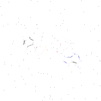 CC(C)(C)[Si](C)(C)O[C@@H]1[C@H](O[Si](C)(C)C(C)(C)C)[C@@H](COP2(=S)OCCC(c3cc(F)c(F)c(Cl)c3F)O2)O[C@H]1n1cnc2c(N)ncnc21